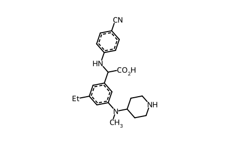 CCc1cc(C(Nc2ccc(C#N)cc2)C(=O)O)cc(N(C)C2CCNCC2)c1